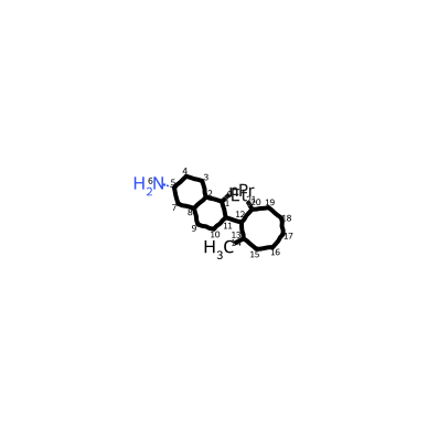 CCCC1C2CC[C@@H](N)CC2CCC1C1C(C)CCCCCC1CC